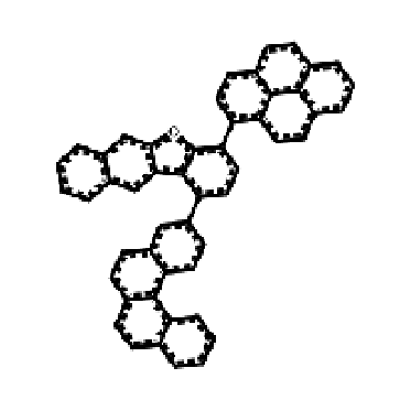 c1ccc2cc3c(cc2c1)oc1c(-c2ccc4ccc5cccc6ccc2c4c56)ccc(-c2ccc4c(ccc5ccc6ccccc6c54)c2)c13